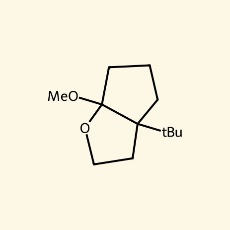 COC12CCCC1(C(C)(C)C)CCO2